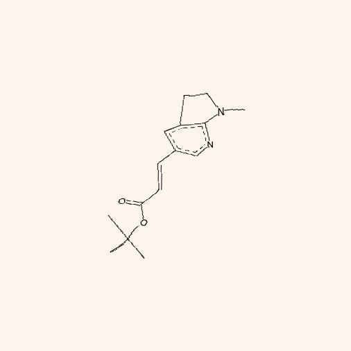 CN1CCc2cc(/C=C/C(=O)OC(C)(C)C)cnc21